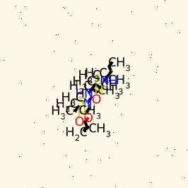 C=C(C)C(=O)OCCN(C(=O)NC(C)(CC)C(C)(CC)[SH](C)NC(C)(C)CCC)[SH](C)C(C)(C)CC